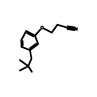 CC(C)(C)Cc1cccc(OCCC#N)c1